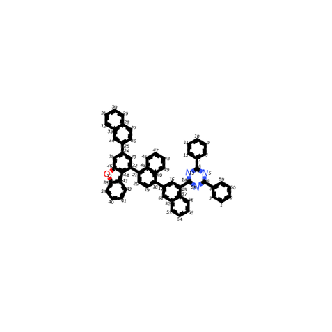 c1ccc(-c2nc(-c3ccccc3)nc(-c3cc(-c4ccc(-c5cc(-c6ccc7ccccc7c6)cc6oc7ccccc7c56)c5ccccc45)cc4ccccc34)n2)cc1